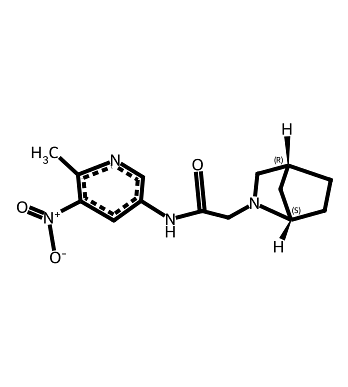 Cc1ncc(NC(=O)CN2C[C@@H]3CC[C@H]2C3)cc1[N+](=O)[O-]